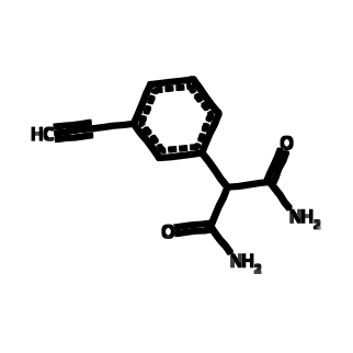 C#Cc1cccc(C(C(N)=O)C(N)=O)c1